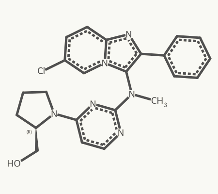 CN(c1nccc(N2CCC[C@@H]2CO)n1)c1c(-c2ccccc2)nc2ccc(Cl)cn12